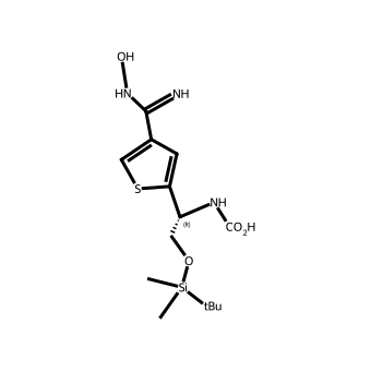 CC(C)(C)[Si](C)(C)OC[C@@H](NC(=O)O)c1cc(C(=N)NO)cs1